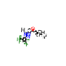 C/C(=C\n1cnc(-c2cc(C(F)(F)F)cc(C(F)(F)F)c2)n1)C(=O)CCC(C)C